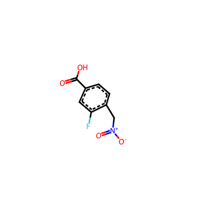 O=C(O)c1ccc(C[N+](=O)[O-])c(F)c1